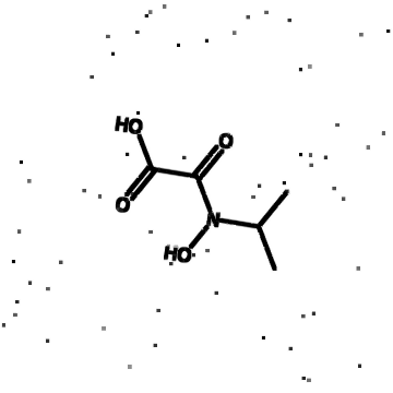 CC(C)N(O)C(=O)C(=O)O